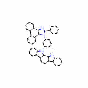 CCn1c2ccccc2c2ccc3c4ccccc4n(-c4cccc(-n5c(-c6ccccc6)nc6c7ccccc7c7ccccc7c65)c4)c3c21